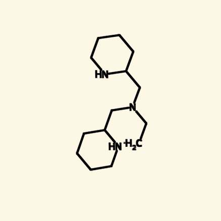 [CH2]CN(CC1CCCCN1)CC1CCCCN1